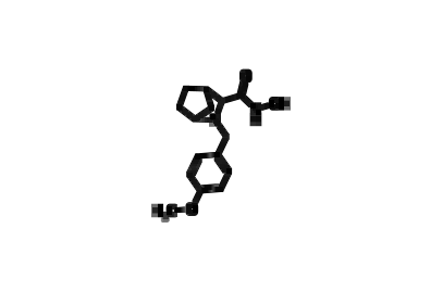 COc1ccc(CN2C3CCC(C3)C2C(=O)NO)cc1